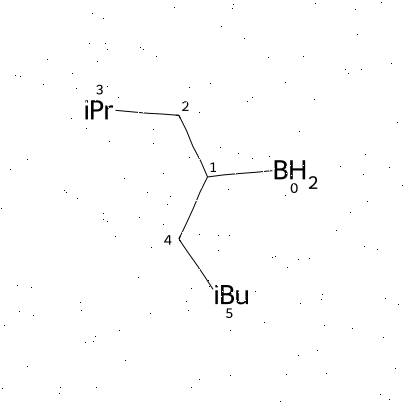 BC(CC(C)C)CC(C)CC